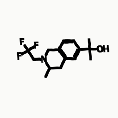 CC1Cc2cc(C(C)(C)O)ccc2CN1CC(F)(F)F